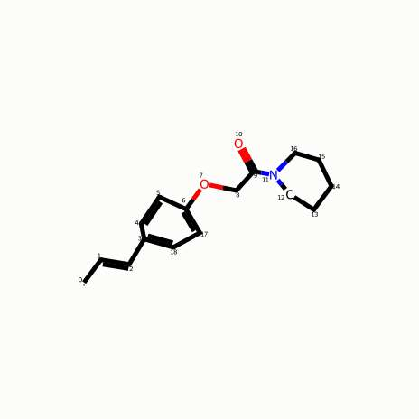 [CH2]/C=C/c1ccc(OCC(=O)N2CCCCC2)cc1